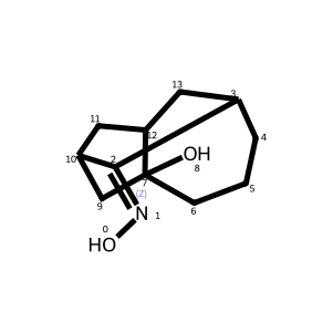 O/N=C1/C2CCCC3(O)CC1CC3C2